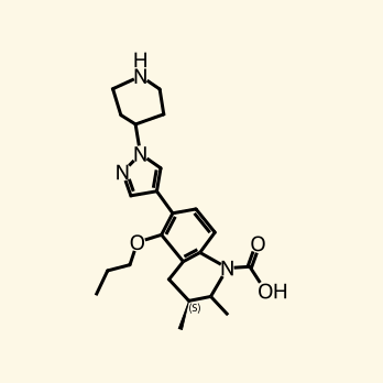 CCCOc1c(-c2cnn(C3CCNCC3)c2)ccc2c1C[C@H](C)C(C)N2C(=O)O